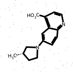 C[C@H]1CCN(c2ccc3nccc(C(=O)O)c3c2)C1